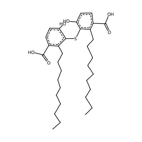 CCCCCCCCCCc1c(C(=O)O)ccc(O)c1Sc1c(O)ccc(C(=O)O)c1CCCCCCCCCC